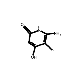 [CH2]c1c(O)cc(=O)[nH]c1N